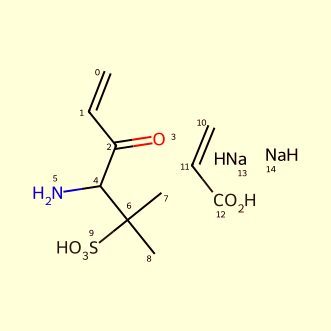 C=CC(=O)C(N)C(C)(C)S(=O)(=O)O.C=CC(=O)O.[NaH].[NaH]